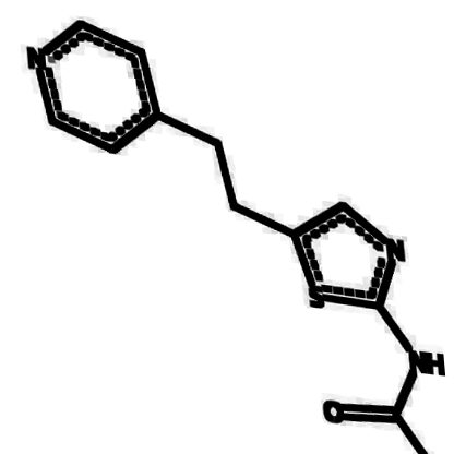 NC(=O)Nc1ncc(CCc2ccncc2)s1